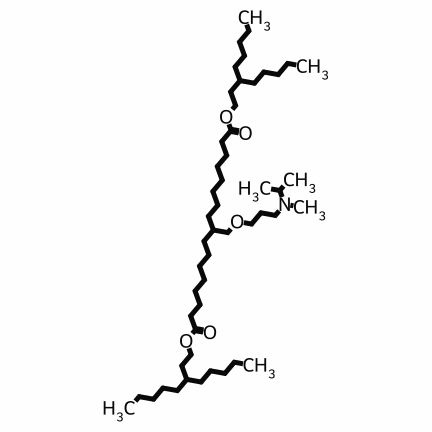 CCCCCC(CCCCC)CCOC(=O)CCCCCCCC(CCCCCCCC(=O)OCCC(CCCCC)CCCCC)COCCCN(C)C(C)C